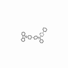 C1=CC(c2ccccc2)CC=C1N(c1ccccc1)c1ccc(-c2ccc(-n3c4ccccc4c4ccccc43)cc2)cc1